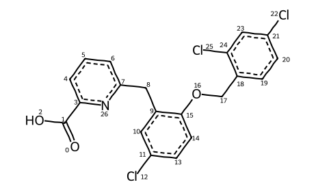 O=C(O)c1cccc(Cc2cc(Cl)ccc2OCc2ccc(Cl)cc2Cl)n1